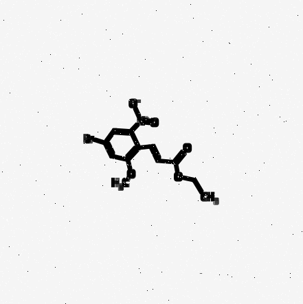 CCOC(=O)/C=C/c1c(OC)cc(Br)cc1[N+](=O)[O-]